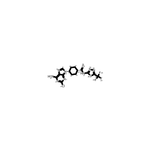 Nc1nc(Cl)nc2c1ncn2[C@H]1CC[C@@H](C(=O)Nc2nnc(C(F)(F)F)s2)CC1